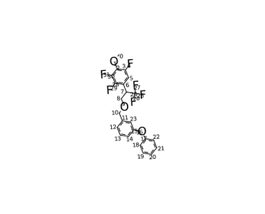 COc1c(F)cc(C(COCc2cccc(Oc3ccccc3)c2)C(F)(F)F)c(F)c1F